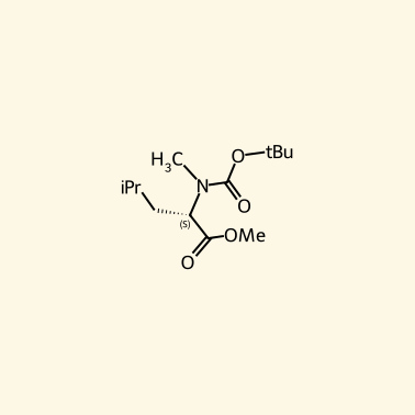 COC(=O)[C@H](CC(C)C)N(C)C(=O)OC(C)(C)C